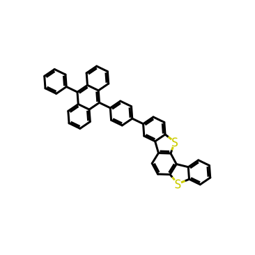 c1ccc(-c2c3ccccc3c(-c3ccc(-c4ccc5sc6c(ccc7sc8ccccc8c76)c5c4)cc3)c3ccccc23)cc1